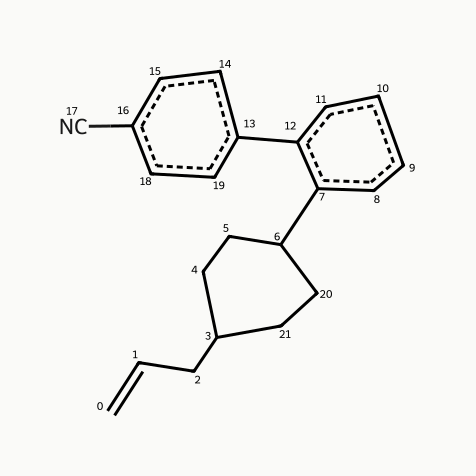 C=CCC1CCC(c2ccccc2-c2ccc(C#N)cc2)CC1